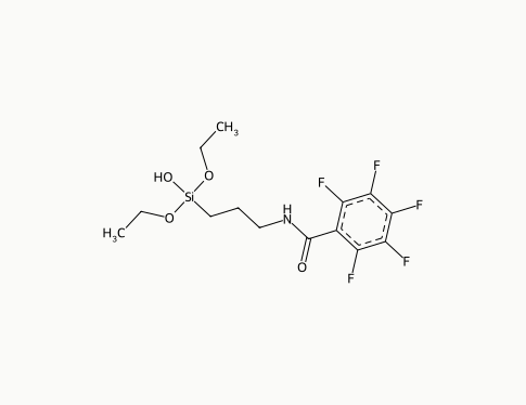 CCO[Si](O)(CCCNC(=O)c1c(F)c(F)c(F)c(F)c1F)OCC